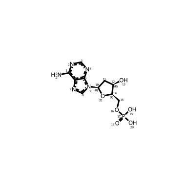 Nc1ncnc2c1ncn2[C@H]1C[C@@H](O)[C@@H](COP(=O)(O)O)O1